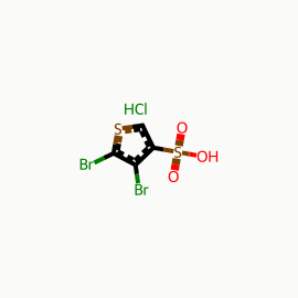 Cl.O=S(=O)(O)c1csc(Br)c1Br